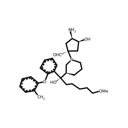 COCCCCC[C@@](O)(c1ccccc1Oc1ccccc1C)[C@@H]1CCCN([C@@]2(C=O)C[C@@H](N)[C@@H](O)C2)C1